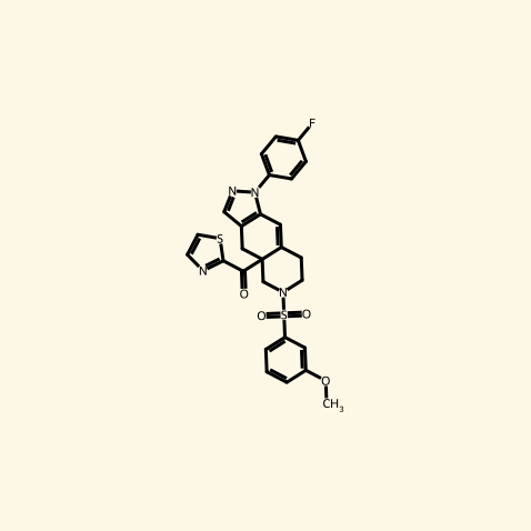 COc1cccc(S(=O)(=O)N2CCC3=Cc4c(cnn4-c4ccc(F)cc4)CC3(C(=O)c3nccs3)C2)c1